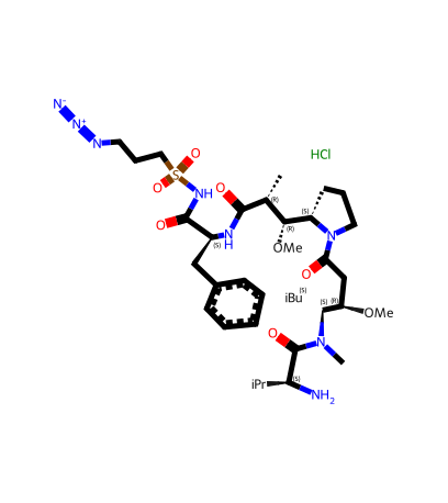 CC[C@H](C)[C@@H]([C@@H](CC(=O)N1CCC[C@H]1[C@H](OC)[C@@H](C)C(=O)N[C@@H](Cc1ccccc1)C(=O)NS(=O)(=O)CCCN=[N+]=[N-])OC)N(C)C(=O)[C@@H](N)C(C)C.Cl